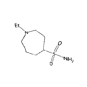 CCN1CCCC(S(N)(=O)=O)CC1